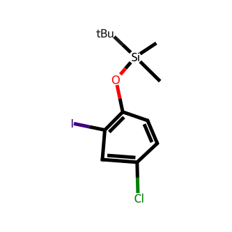 CC(C)(C)[Si](C)(C)Oc1ccc(Cl)cc1I